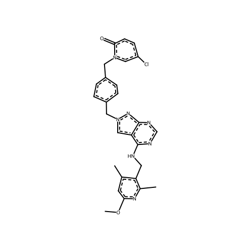 COc1cc(C)c(CNc2ncnc3nn(Cc4ccc(Cn5cc(Cl)ccc5=O)cc4)cc23)c(C)n1